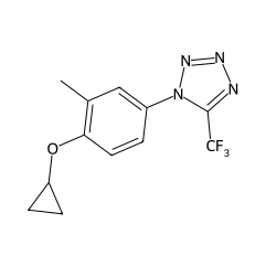 Cc1cc(-n2nnnc2C(F)(F)F)ccc1OC1CC1